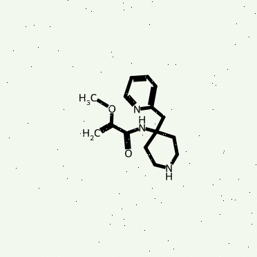 C=C(OC)C(=O)NC1(Cc2ccccn2)CCNCC1